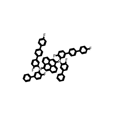 Fc1ccc(-c2ccc(-c3ccc(F)c(N(c4cc(-c5ccccc5)ccc4F)c4cc5cccc6c(N(c7cc(-c8ccccc8)ccc7F)c7cc(-c8ccc(-c9ccc(F)cc9)cc8)ccc7F)cc7cccc4c7c56)c3)cc2)cc1